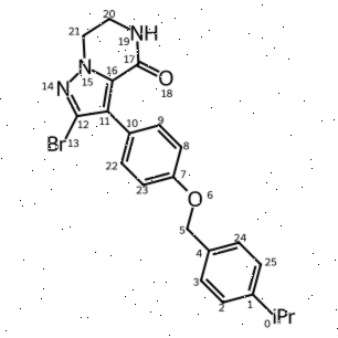 CC(C)c1ccc(COc2ccc(-c3c(Br)nn4c3C(=O)NCC4)cc2)cc1